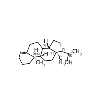 C[C@H](O)[C@H]1CC[C@H]2[C@@H]3CCC4=CCCC[C@]4(C)[C@H]3CC[C@]12C